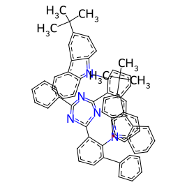 CC(C)(C)c1ccc2c(c1)c1ccccc1n2-c1cccc(-c2ccccc2)c1-c1nc(-c2ccccc2)nc(-c2cccc(-c3ccccc3)c2-n2c3ccccc3c3cc(C(C)(C)C)ccc32)n1